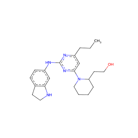 CCCc1cc(N2CCCCC2CCO)nc(Nc2ccc3c(c2)NCC3)n1